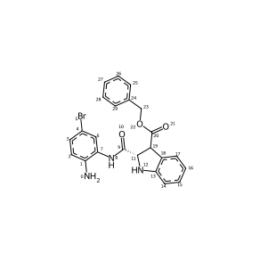 Nc1ccc(Br)cc1NC(=O)[C@H]1Nc2ccccc2C1C(=O)OCc1ccccc1